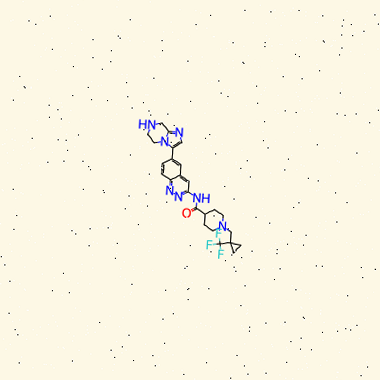 O=C(Nc1cc2cc(-c3cnc4n3CCNC4)ccc2nn1)C1CCN(CC2(C(F)(F)F)CC2)CC1